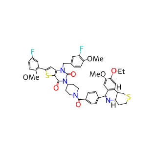 CCOc1cc2c(cc1OC)C(c1ccc(C(=O)N3CCC(n4c(=O)c5sc(-c6cc(F)ccc6OC)cc5n(Cc5ccc(OC)c(F)c5)c4=O)CC3)cc1)=N[C@@H]1CCSC[C@H]21